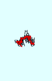 CCCCC(=O)N[C@H]1CCc2c(C)c(F)cc3nc4c(c1c23)Cn1c-4cc2c(c1=O)COC(=O)[C@@]2(CC)OC(=O)N(C)C[C@@H]1CCCN1C(=O)OCc1ccc(NC(=O)CNC(=O)[C@H](Cc2ccccc2)NC(=O)CNC(=O)CNC(=O)c2cc(C)cc(N3C(=O)CC(SC)C3=O)c2)cc1